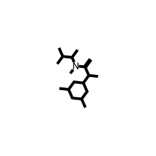 C=C(C(C)C1CC(C)CC(C)C1)N(C)C(C)C(C)C